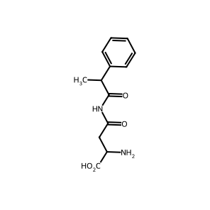 CC(C(=O)NC(=O)CC(N)C(=O)O)c1ccccc1